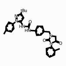 Cc1ccc(-n2nc(C(C)(C)C)cc2NC(=O)Nc2ccc(CN3CC(=O)N(c4ccccc4C)C3=O)cc2)cc1